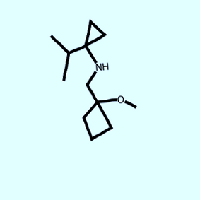 COC1(CNC2(C(C)C)CC2)CCC1